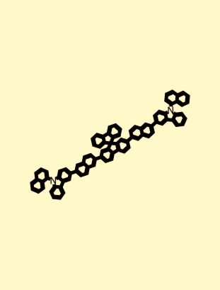 c1ccc2c(c1)-c1ccccc1C21c2cc(-c3ccc4cc(-c5ccc6c(c5)c5ccccc5n6-c5cccc6ccccc56)ccc4c3)ccc2-c2ccc(-c3ccc4cc(-c5ccc6c(c5)c5ccccc5n6-c5cccc6ccccc56)ccc4c3)cc21